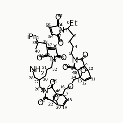 CCC(CCCCN1C(=O)C2C3C=CC(COCC45C=CC(O4)C4C(=O)N(CC(CN)CCCN6C(=O)C=C(CC(C)C(C)C)C6=O)C(=O)C45)(O3)C2C1=O)N1C(=O)C=CC1=O